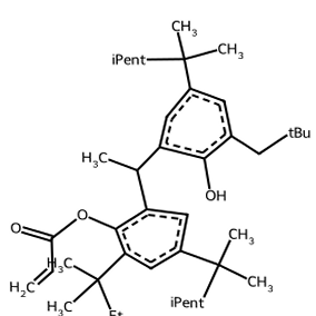 C=CC(=O)Oc1c(C(C)c2cc(C(C)(C)C(C)CCC)cc(CC(C)(C)C)c2O)cc(C(C)(C)C(C)CCC)cc1C(C)(C)CC